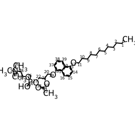 CCCCCCCCCCCCOc1cccc2c(OCC(COP(O)OCC[N+](C)(C)C)OC(C)=O)cccc12